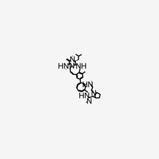 C=C(CNC)N(C)[C@@H](CC(C)C)/C1=N/C/C=C\c2cc(C3=C=CC=C=C(CN/C(=N\C)C4C5CCC(C5)N4CCNC)/C=C\3)cc(C)c2CN1